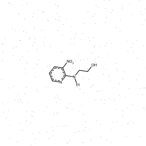 CCN(CCO)c1ncccc1[N+](=O)[O-]